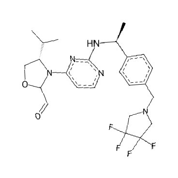 CC(C)[C@H]1COC(C=O)N1c1ccnc(N[C@@H](C)c2ccc(CN3CC(F)(F)C(F)(F)C3)cc2)n1